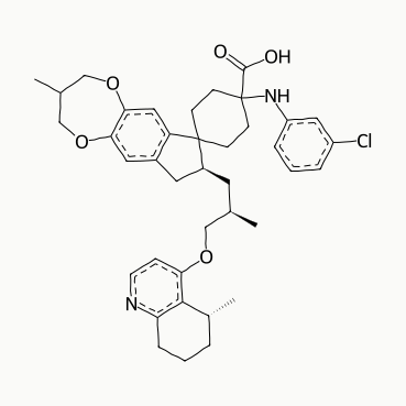 CC1COc2cc3c(cc2OC1)C1(CCC(Nc2cccc(Cl)c2)(C(=O)O)CC1)[C@@H](C[C@@H](C)COc1ccnc2c1[C@H](C)CCC2)C3